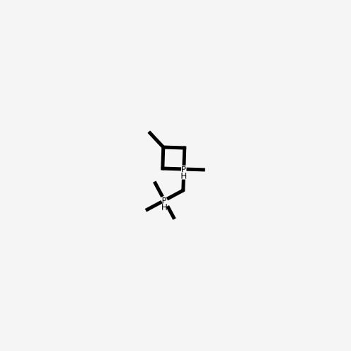 CC1C[PH](C)(C[PH](C)(C)C)C1